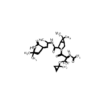 CC(OC1(C)CC1)C(NC(=O)C(F)(F)F)C(=O)N1CC2C(C1C(=O)NC(C#N)CC1CC(C)(C)NC1=O)C2(C)C